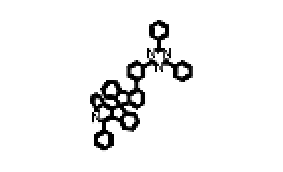 c1ccc(-c2nc(-c3ccccc3)nc(-c3cccc(-c4cccc5c4-c4ccccc4C54c5ccccc5-c5c(-c6ccccc6)nc6ccccc6c54)c3)n2)cc1